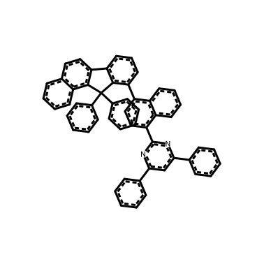 c1ccc(-c2cc(-c3ccccc3)nc(-c3ccc(-c4cccc5c4C(c4ccccc4)(c4ccccc4)c4c-5ccc5ccccc45)c4ccccc34)n2)cc1